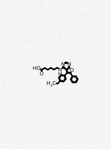 CCc1ccc(-c2c(-c3ccccc3)oc3ncnc(NCCCCCC(=O)O)c23)cc1